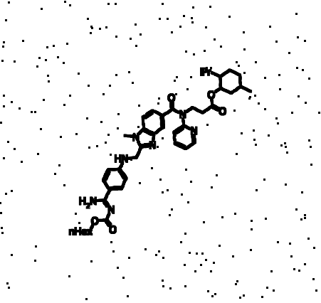 CCCCCCOC(=O)N=C(N)c1ccc(NCc2nc3cc(C(=O)N(CCC(=O)OC4CC(C)CCC4C(C)C)c4ccccn4)ccc3n2C)cc1